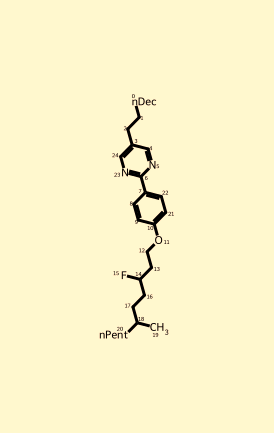 CCCCCCCCCCCCc1cnc(-c2ccc(OCCC(F)CCC(C)CCCCC)cc2)nc1